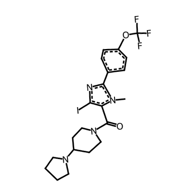 Cn1c(-c2ccc(OC(F)(F)F)cc2)nc(I)c1C(=O)N1CCC(N2CCCC2)CC1